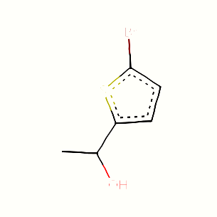 [CH2]C(O)c1ccc(Br)s1